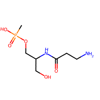 CP(=O)(O)OCC(CO)NC(=O)CCN